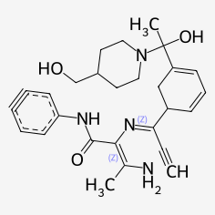 C#C/C(=N\C(C(=O)Nc1cc#ccc1)=C(\C)N)C1C=CC=C(C(C)(O)N2CCC(CO)CC2)C1